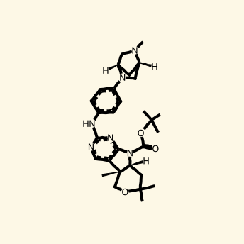 CN1C[C@@H]2C[C@H]1CN2c1ccc(Nc2ncc3c(n2)N(C(=O)OC(C)(C)C)[C@@H]2CC(C)(C)OC[C@]32C)cc1